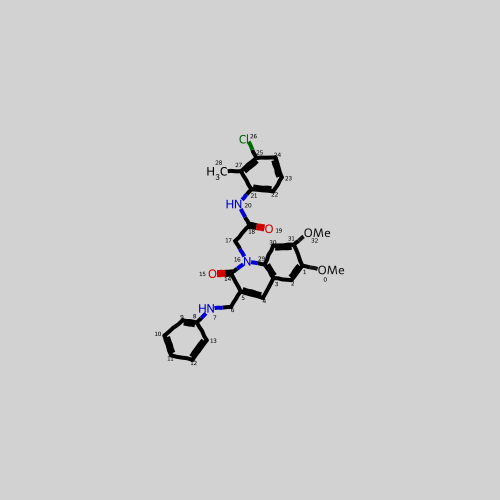 COc1cc2cc(CNc3ccccc3)c(=O)n(CC(=O)Nc3cccc(Cl)c3C)c2cc1OC